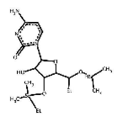 CCC(O[SiH](C)C)C1OC(n2ccc(N)nc2=O)C(O)C1O[Si](C)(C)CC